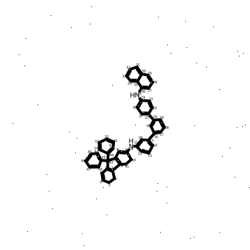 C1=CC2=C(CC1)C1=C(C=C(Nc3cccc(-c4cccc(-c5ccc(Nc6cccc7ccccc67)cc5)c4)c3)CC1)C2(c1ccccc1)c1ccccc1